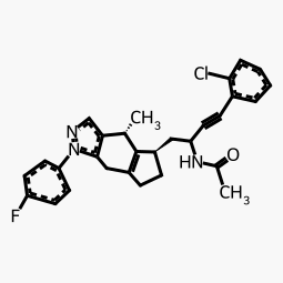 CC(=O)NC(C#Cc1ccccc1Cl)C[C@H]1CCC2=C1[C@@H](C)c1cnn(-c3ccc(F)cc3)c1C2